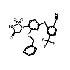 N#Cc1ccc(C(F)(F)F)cc1Sc1ccc(N2CC(=O)NS2(=O)=O)c(OCc2ccccc2)c1